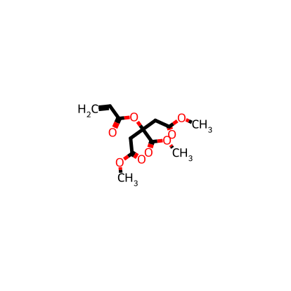 C=CC(=O)OC(CC(=O)OC)(CC(=O)OC)C(=O)OC